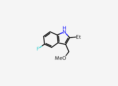 CCc1[nH]c2ccc(F)cc2c1COC